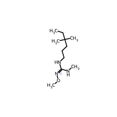 CCC(C)(C)CCCN/C(=N/OC)NC